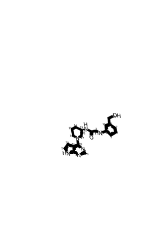 O=C(CNc1cccc(CO)c1)N[C@@H]1CCCN(c2ncnc3[nH]ccc23)C1